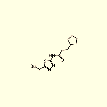 CCC(C)Sc1nnc(NC(=O)CCC2CCCC2)s1